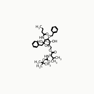 CCCC(=O)N[C@@H]1[C@@H](OCc2ccccc2)[C@H](O)[C@@H](COC(=O)[C@@H](NC(=O)OC(C)(C)C)C(C)C)OC1(O)Cc1ccccc1